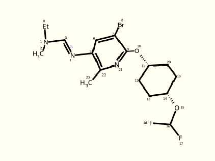 CCN(C)/C=N/c1cc(Br)c(O[C@H]2CC[C@@H](OC(F)F)CC2)nc1C